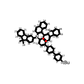 CC(C)(C)c1ccc(-c2ccc(-c3ccc(N(c4ccc5c(c4)-c4ccccc4C5(C)C)c4ccc5ccccc5c4-c4cccc5c4sc4ccccc45)cc3)cc2)cc1